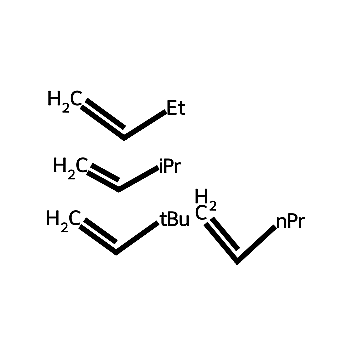 C=CC(C)(C)C.C=CC(C)C.C=CCC.C=CCCC